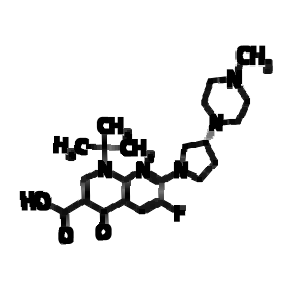 CN1CCN([C@@H]2CCN(c3nc4c(cc3F)c(=O)c(C(=O)O)cn4C(C)(C)C)C2)CC1